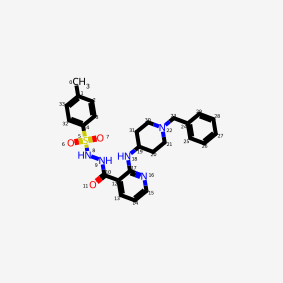 Cc1ccc(S(=O)(=O)NNC(=O)c2cccnc2NC2CCN(Cc3ccccc3)CC2)cc1